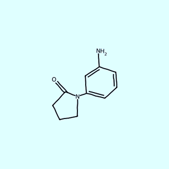 Nc1cccc(N2CCCC2=O)c1